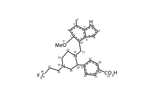 COc1cc(C)c2[nH]ccc2c1CN1CCN(CCC(F)(F)F)CC1c1ccc(C(=O)O)cc1